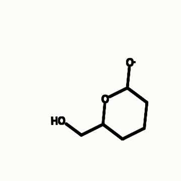 [O]C1CCCC(CO)O1